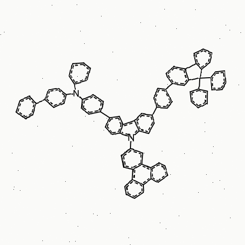 c1ccc(-c2ccc(N(c3ccccc3)c3ccc(-c4ccc5c(c4)c4cc(-c6ccc(-c7ccc8c(c7)C(c7ccccc7)(c7ccccc7)c7ccccc7-8)cc6)ccc4n5-c4ccc5c6ccccc6c6ccccc6c5c4)cc3)cc2)cc1